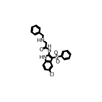 O=C(CNCc1ccccc1)Nc1[nH]c2ccc(Cl)cc2c1S(=O)(=O)c1ccccc1